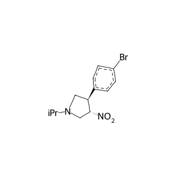 CC(C)N1C[C@@H]([N+](=O)[O-])[C@H](c2ccc(Br)cc2)C1